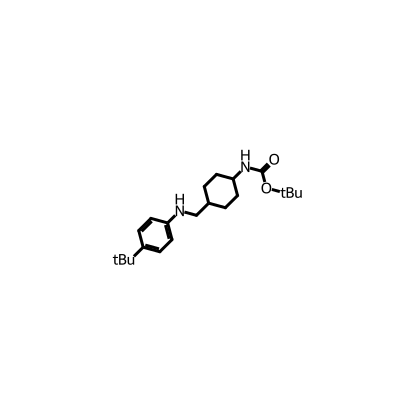 CC(C)(C)OC(=O)NC1CCC(CNc2ccc(C(C)(C)C)cc2)CC1